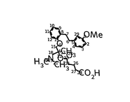 COc1cccc(CCc2ccccc2OC[C@](C)(CN(C)C)OC(=O)CCCC(=O)O)c1